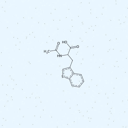 CC(=O)NC(Cc1csc2ccccc12)C(=O)O